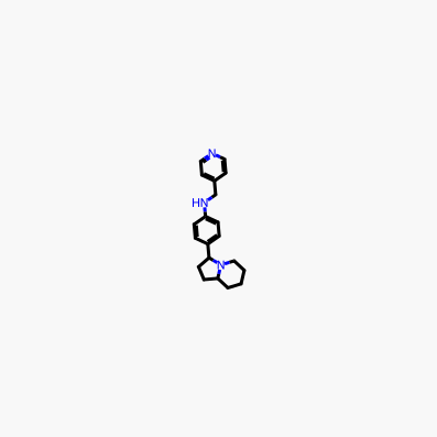 c1cc(CNc2ccc(C3CCC4CCCCN43)cc2)ccn1